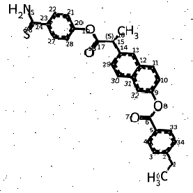 CCc1ccc(C(=O)Oc2ccc3cc([C@H](C)C(=O)Oc4ccc(C(N)=S)cc4)ccc3c2)cc1